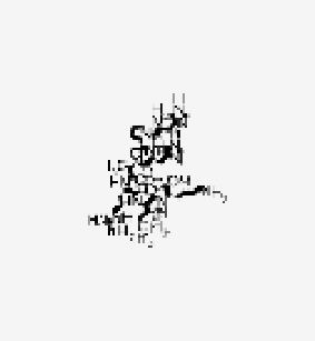 CC[C@H](C)[C@H](NC(=O)[C@H](CCCNC(=N)N)NC(=O)[C@H](C)NC(=O)[C@H](Cc1c[nH]cn1)NC(=O)[C@@H]1CCCN1C(=O)[C@@H](N)Cc1c[nH]cn1)C(=O)N[C@@H](CCCCN)C(=O)O